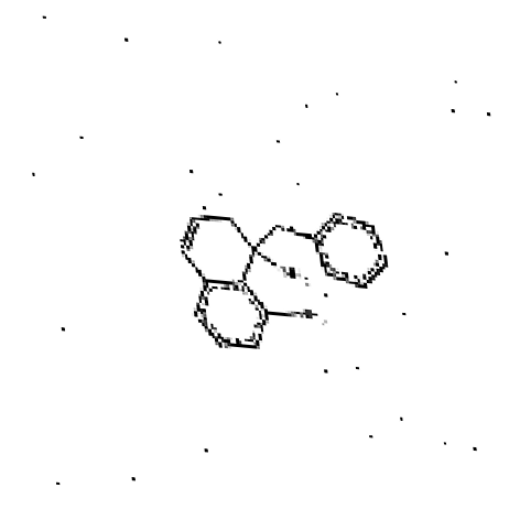 Nc1cccc2c1C(N)(Cc1ccccc1)CC=C2